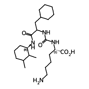 CC1CCC[C@@H](NC(=O)C(CC2CCCCC2)NC(=O)N[C@@H](CCCCN)C(=O)O)C1C